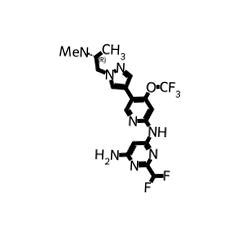 CN[C@H](C)Cn1cc(-c2cnc(Nc3cc(N)nc(C(F)F)n3)cc2OC(F)(F)F)cn1